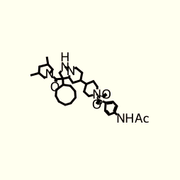 CC(=O)Nc1ccc(S(=O)(=O)N2CCC(C3CCN4NCC(C(=O)N5CC(C)CC(C)C5)(C5CCCCCCCC5)C4C3)CC2)cc1